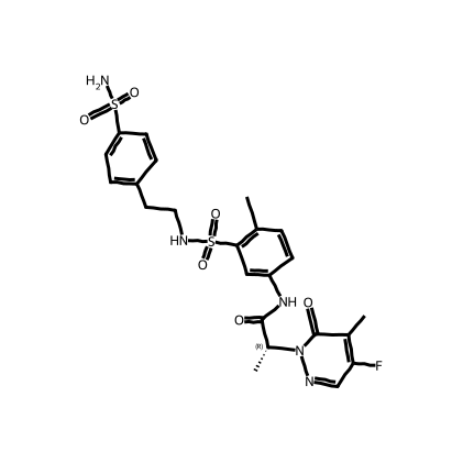 Cc1ccc(NC(=O)[C@@H](C)n2ncc(F)c(C)c2=O)cc1S(=O)(=O)NCCc1ccc(S(N)(=O)=O)cc1